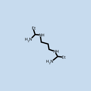 CCC(N)NCCCNC(N)CC